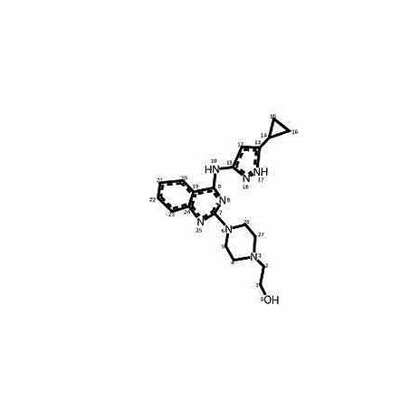 OCCN1CCN(c2nc(Nc3cc(C4CC4)[nH]n3)c3ccccc3n2)CC1